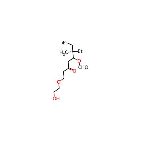 CCC(C)(CC(C)C)C(CC(=O)CCOCCO)OC=O